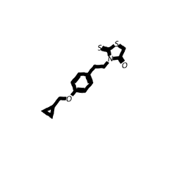 O=C1CSC(=S)N1CCc1ccc(OCC2CC2)cc1